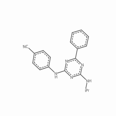 CC(C)Nc1nc(Nc2ccc(C#N)cc2)nc(-c2ccccc2)n1